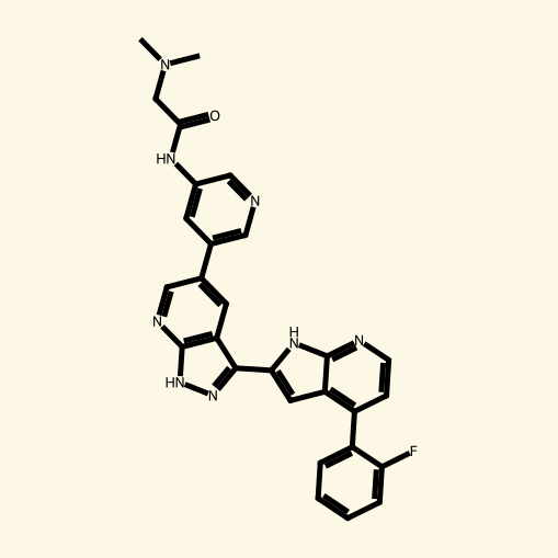 CN(C)CC(=O)Nc1cncc(-c2cnc3[nH]nc(-c4cc5c(-c6ccccc6F)ccnc5[nH]4)c3c2)c1